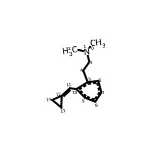 CN(C)CCc1ccccc1C=C1CC1